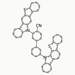 N#Cc1ccc(-c2cccc(-n3c4ccccc4c4ccc5c6ccccc6sc5c43)c2)cc1-n1c2ccccc2c2cc3sc4ccccc4c3cc21